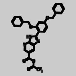 O=C(OC(=O)C(F)(F)F)c1cnc2[nH]c(-c3ccc(OCc4ccccc4)cc3OCc3ccccc3)nc2c1